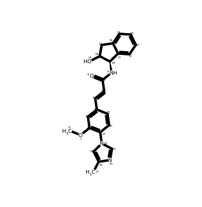 COc1cc(C=CC(=O)N[C@@H]2c3ccccc3CC2O)ccc1-n1cnc(C)c1